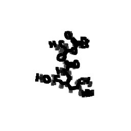 CCCC[C@@H](C)C[C@H](CNC(=O)O[C@@H](C)OC(=O)CC)CC(=O)O